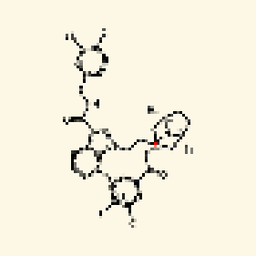 COc1cccc2c(C(=O)NCc3ccc(Cl)c(Cl)c3)cn(CCCN3[C@@H]4CC[C@H]3C[C@@H](CC(=O)c3ccc(F)c(Cl)c3)C4)c12